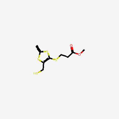 C=C1SC(CS)=C(SCCC(=O)OC)S1